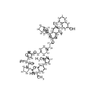 CCc1cccc2cc(O)cc(-c3ncc4c(N5CC6CCC(C5)N6)nc(OCCN5CCC(COc6cc(C(C(=O)N7CCC[C@H]7C(=O)NC(C)c7ccc(-c8ccnn8C)cc7)C(C)C)on6)CC5)nc4c3F)c12